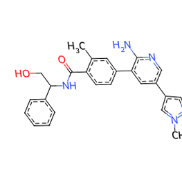 Cc1cc(-c2cc(-c3cnn(C)c3)cnc2N)ccc1C(=O)NC(CO)c1ccccc1